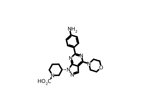 Nc1ccc(-c2nc(N3CCOCC3)c3cnn([C@H]4CCCN(C(=O)O)C4)c3n2)cc1